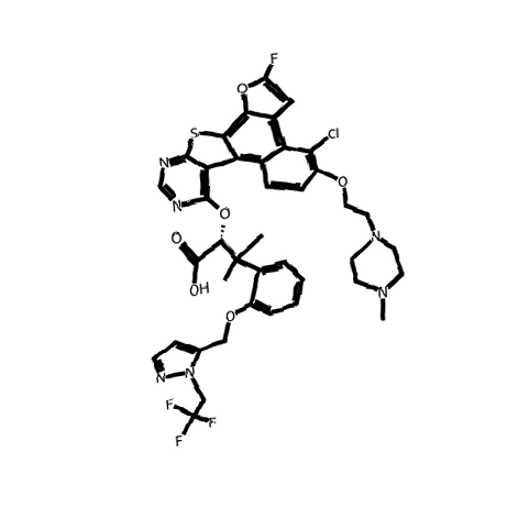 CN1CCN(CCOc2ccc3c(c2Cl)c2cc(F)oc2c2sc4ncnc(O[C@@H](C(=O)O)C(C)(C)c5ccccc5OCc5ccnn5CC(F)(F)F)c4c32)CC1